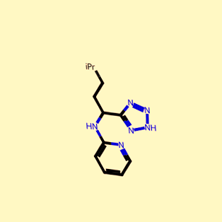 CC(C)CCC(Nc1ccccn1)c1nn[nH]n1